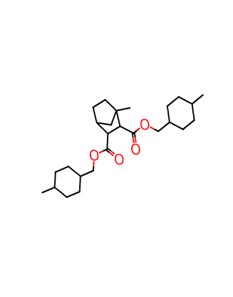 CC1CCC(COC(=O)C2C3CCC(C)(C3)C2C(=O)OCC2CCC(C)CC2)CC1